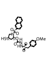 COc1ccc(CS(=O)(=O)NNC(=O)O[C@H]2C[C@@H](S)CN2S(=O)(=O)c2ccc3ccccc3c2)cc1